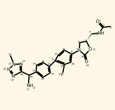 CC(=O)NC[C@H]1CN(c2ccc(-c3ccc(C(N)c4nnn(C)n4)cc3)c(F)c2)C(=O)O1